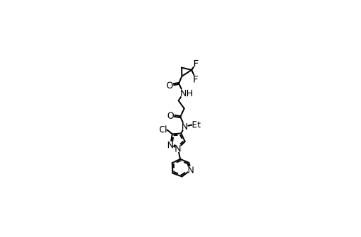 CCN(C(=O)CCNC(=O)C1CC1(F)F)c1cn(-c2cccnc2)nc1Cl